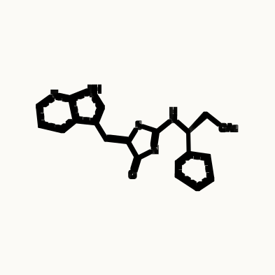 CC(=O)OC[C@H](NC1=NC(=O)C(=Cc2c[nH]c3ncccc23)S1)c1ccccc1